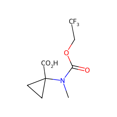 CN(C(=O)OCC(F)(F)F)C1(C(=O)O)CC1